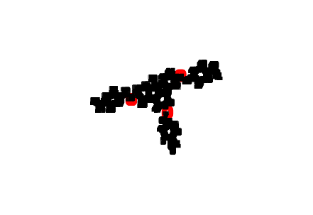 C=Cc1ccc(COc2ccc(C(C)(c3ccc(OCc4ccc(C=C)cc4)cc3)c3ccc(OCc4ccc(C=C)cc4)cc3)cc2)cc1